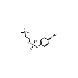 C[N+](C)(C)CCOP(=O)(O)OC1=CCC(=[N+]=[N-])C=C1